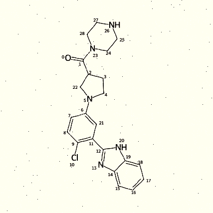 O=C(C1CCN(c2ccc(Cl)c(-c3nc4ccccc4[nH]3)c2)C1)N1CCNCC1